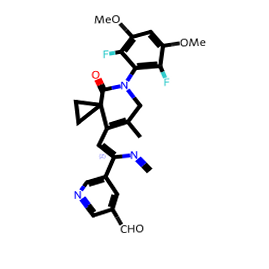 C=N/C(=C\C1=C(C)CN(c2c(F)c(OC)cc(OC)c2F)C(=O)C12CC2)c1cncc(C=O)c1